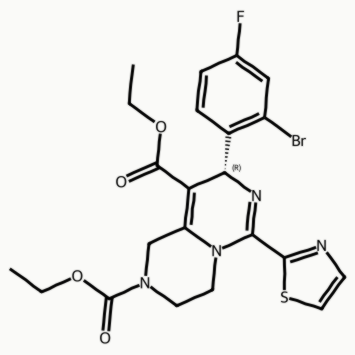 CCOC(=O)C1=C2CN(C(=O)OCC)CCN2C(c2nccs2)=N[C@H]1c1ccc(F)cc1Br